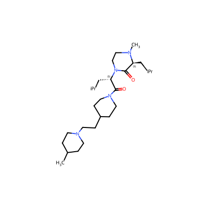 CC(C)C[C@H]1C(=O)N([C@@H](CC(C)C)C(=O)N2CCC(CCN3CCC(C)CC3)CC2)CCN1C